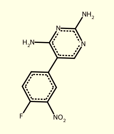 Nc1ncc(-c2ccc(F)c([N+](=O)[O-])c2)c(N)n1